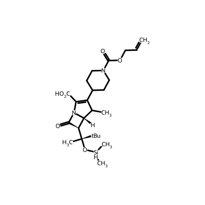 C=CCOC(=O)N1CCC(C2=C(C(=O)O)N3C(=O)[C@H]([C@@](C)(O[SiH](C)C)C(C)(C)C)[C@H]3C2C)CC1